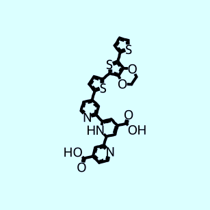 O=C(O)C1=CC(c2cc(C(=O)O)ccn2)NC(c2cc(-c3ccc(-c4sc(-c5cccs5)c5c4OCCO5)s3)ccn2)=C1